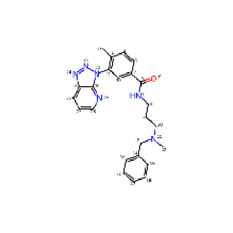 Cc1ccc(C(=O)NCCCN(C)Cc2ccccc2)cc1-n1nnc2cccnc21